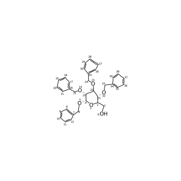 OCC1O[C@H](OCc2ccccc2)[C@H](OCc2ccccc2)C(OCc2ccccc2)[C@@H]1OCc1ccccc1